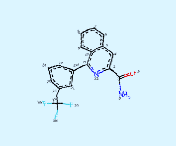 NC(=O)c1cc2ccccc2c(-c2cccc(C(F)(F)F)c2)n1